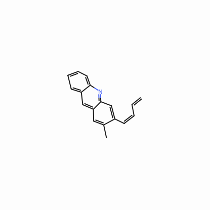 C=C/C=C\c1cc2nc3ccccc3cc2cc1C